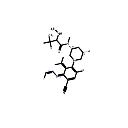 CC(C)=C1C(N2C[C@@H](C)C[C@@H](N(C)C(=O)C(NN)C(C)(F)P)C2)=C(F)C=C(C#N)/C1=N/C=C\I